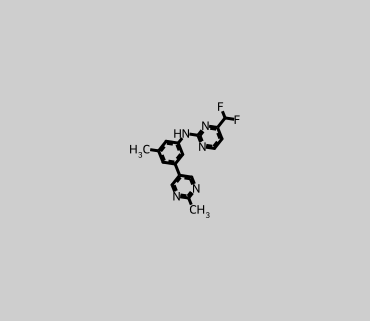 Cc1cc(Nc2nccc(C(F)F)n2)cc(-c2cnc(C)nc2)c1